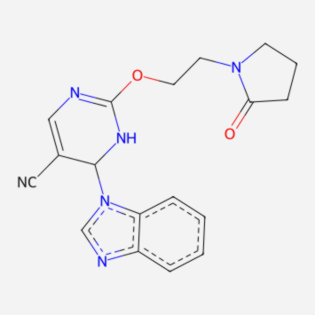 N#CC1=CN=C(OCCN2CCCC2=O)NC1n1cnc2ccccc21